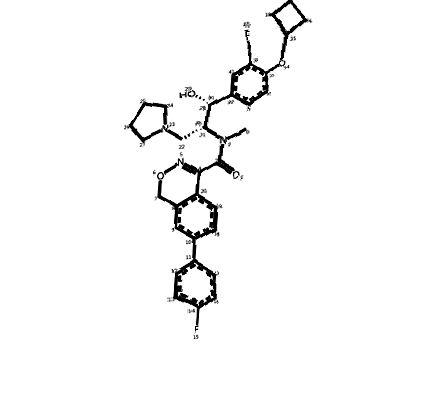 CN(C(=O)C1=NOCc2cc(-c3ccc(F)cc3)ccc21)[C@H](CN1CCCC1)[C@H](O)c1ccc(OC2CCC2)c(F)c1